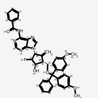 C=C1[C@@H](n2cnc3c(NC(=O)c4ccccc4)ncnc32)C(F)[C@H](O)[C@H]1COC(c1ccccc1)(c1ccc(OC)cc1)c1ccc(OC)cc1